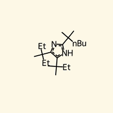 CCCCC(C)(C)c1nc(C(C)(CC)CC)c(C(C)(C)CC)[nH]1